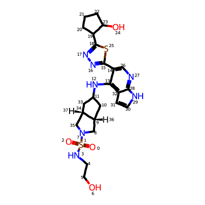 O=S(=O)(NCCO)N1C[C@H]2CC(Nc3c(-c4nnc(C5CCCC5O)s4)cnc4[nH]ccc34)C[C@H]2C1